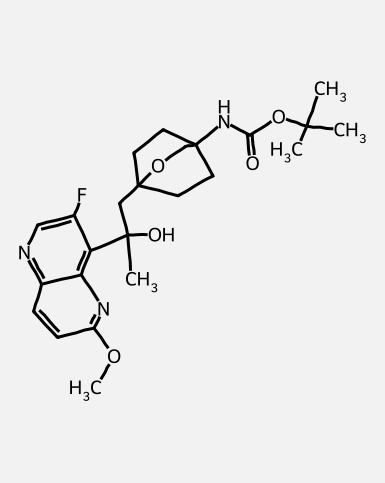 COc1ccc2ncc(F)c(C(C)(O)CC34CCC(NC(=O)OC(C)(C)C)(CC3)CO4)c2n1